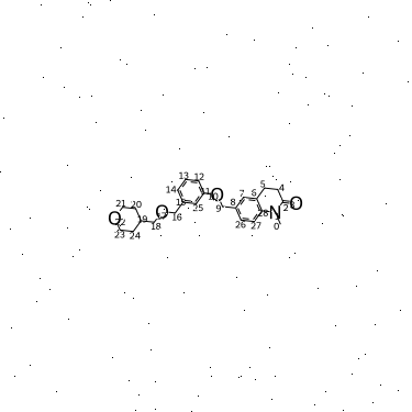 CN1C(=O)CCc2cc(COc3cccc(COCC4CCOCC4)c3)ccc21